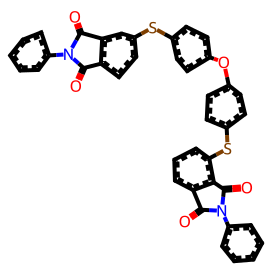 O=C1c2ccc(Sc3ccc(Oc4ccc(Sc5cccc6c5C(=O)N(c5ccccc5)C6=O)cc4)cc3)cc2C(=O)N1c1ccccc1